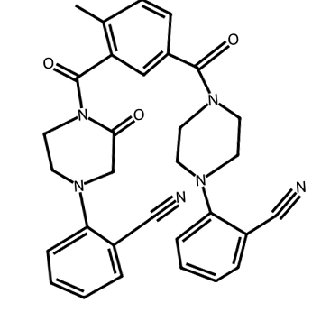 Cc1ccc(C(=O)N2CCN(c3ccccc3C#N)CC2)cc1C(=O)N1CCN(c2ccccc2C#N)CC1=O